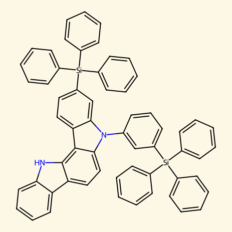 c1ccc([Si](c2ccccc2)(c2ccccc2)c2cccc(-n3c4cc([Si](c5ccccc5)(c5ccccc5)c5ccccc5)ccc4c4c5[nH]c6ccccc6c5ccc43)c2)cc1